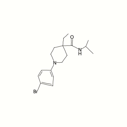 CCC1(C(=O)NC(C)C)CCN(c2ccc(Br)cc2)CC1